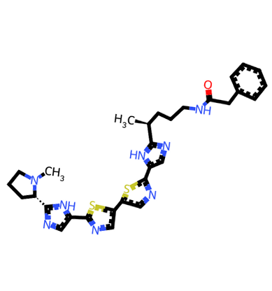 C[C@@H](CCCNC(=O)Cc1ccccc1)c1ncc(-c2ncc(-c3cnc(-c4cnc([C@@H]5CCCN5C)[nH]4)s3)s2)[nH]1